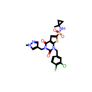 Cn1cc(Cn2c(=O)c3cc(S(=O)(=O)NC4(C)CC4)sc3n(Cc3ccc(F)c(Cl)c3)c2=O)cn1